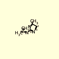 Cc1ccnc(N=S(C)C)n1